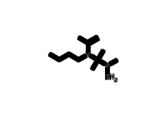 BN(C)C(C)(C)N(CCCC)C(=C)C